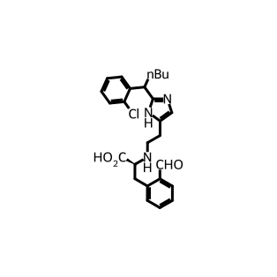 CCCCC(c1ncc(CCN[C@@H](Cc2ccccc2C=O)C(=O)O)[nH]1)c1ccccc1Cl